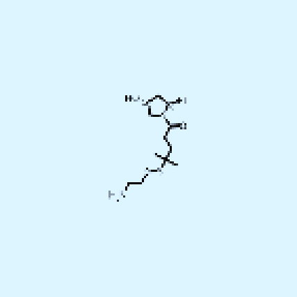 CC[C@@H]1C[C@@H](O)CN1C(=O)CCC(C)(C)SSCCN